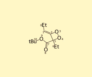 CCC=C1OOC1(CC)C(=O)OC(C)(C)C